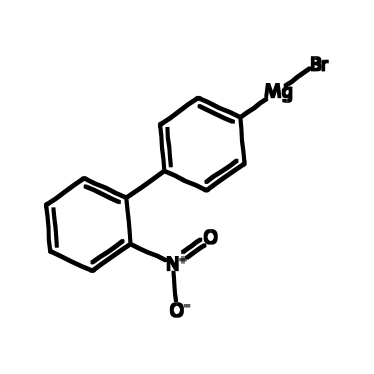 O=[N+]([O-])c1ccccc1-c1cc[c]([Mg][Br])cc1